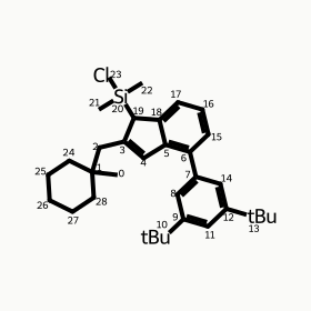 CC1(CC2=Cc3c(-c4cc(C(C)(C)C)cc(C(C)(C)C)c4)cccc3C2[Si](C)(C)Cl)CCCCC1